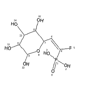 O=P(O)(O)C(F)=CC1OC(O)C(O)C(O)C1O